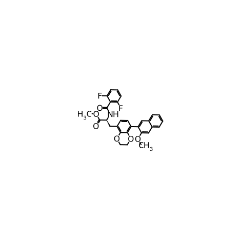 COC(=O)[C@H](Cc1ccc(-c2cc3ccccc3cc2OC)c2c1OCCO2)NC(=O)c1c(F)cccc1F